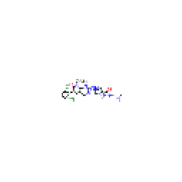 COn1c(=O)c(-c2c(Cl)cccc2Cl)cc2cnc(Nc3cc(C(=O)NCCN(C)C)n(C)c3)nc21